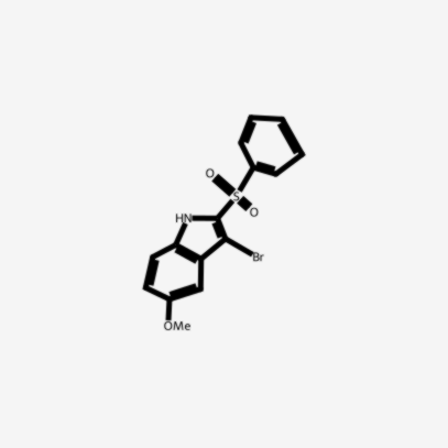 COc1ccc2[nH]c(S(=O)(=O)c3ccccc3)c(Br)c2c1